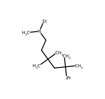 CCN(C)CCC(C)(C)CC(C)(C)C(C)C